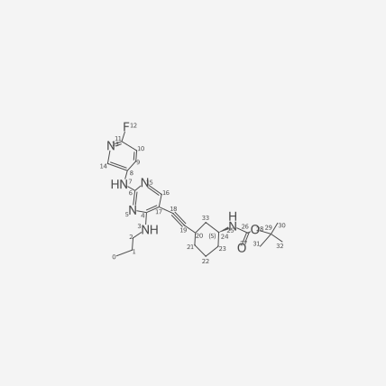 CCCNc1nc(Nc2ccc(F)nc2)ncc1C#CC1CCC[C@H](NC(=O)OC(C)(C)C)C1